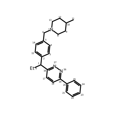 [CH2]CC(c1ccc(CN2CCC(C)CC2)cc1)c1ccc(-c2ccccc2)nn1